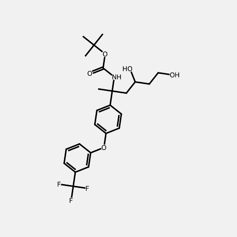 CC(C)(C)OC(=O)NC(C)(CC(O)CCO)c1ccc(Oc2cccc(C(F)(F)F)c2)cc1